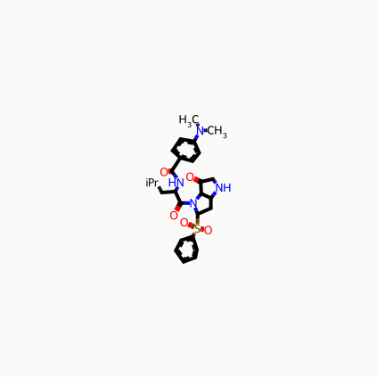 CC(C)CC(NC(=O)c1ccc(N(C)C)cc1)C(=O)N1C2C(=O)CNC2CC1S(=O)(=O)c1ccccc1